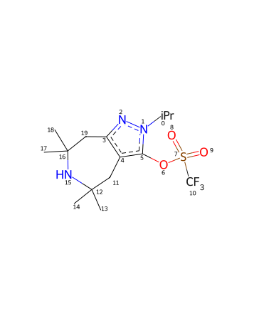 CC(C)n1nc2c(c1OS(=O)(=O)C(F)(F)F)CC(C)(C)NC(C)(C)C2